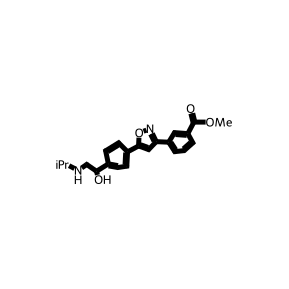 COC(=O)c1cccc(-c2cc(-c3ccc(C(O)CNC(C)C)cc3)on2)c1